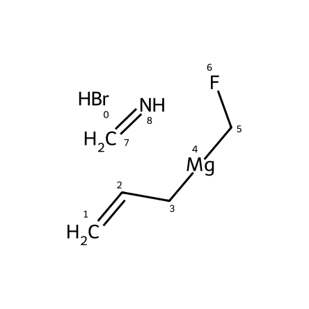 Br.C=C[CH2][Mg][CH2]F.C=N